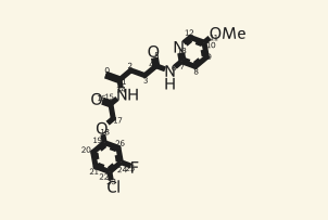 C=C(CCC(=O)Nc1ccc(OC)cn1)NC(=O)COc1ccc(Cl)c(F)c1